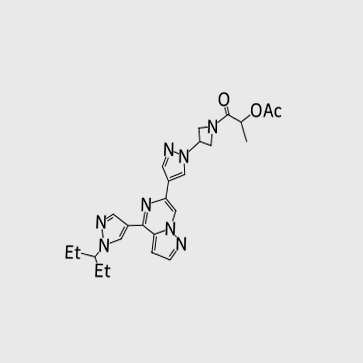 CCC(CC)n1cc(-c2nc(-c3cnn(C4CN(C(=O)C(C)OC(C)=O)C4)c3)cn3nccc23)cn1